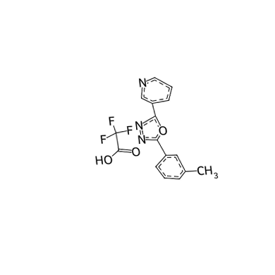 Cc1cccc(-c2nnc(-c3cccnc3)o2)c1.O=C(O)C(F)(F)F